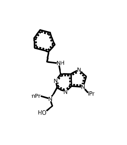 CCCN(CO)c1nc(NCc2ccccc2)c2ncn(C(C)C)c2n1